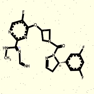 CN/C(=N\C=N)c1ncc(F)c(OC2CN(C(=O)N3N=CC[C@H]3c3cc(F)cc(F)c3)C2)n1